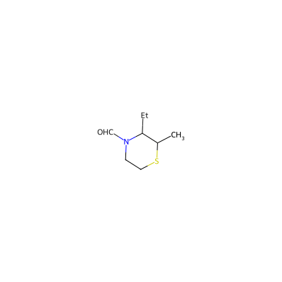 CCC1C(C)SCCN1C=O